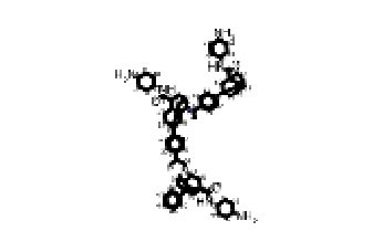 C/C(=C1/C2CC(C(=O)N[C@H]3CC[C@H](N)CC3)C3CCC(c4ccc(C(C)CN5C6CC7(C(=O)N[C@H]8CC[C@H](N)CC8)CC5CC(c5ccccc5)(C6)C7)cc4)(C2)CC13)c1ccc(C23CC4CC(CC(C(=O)N[C@H]5CC[C@H](N)CC5)(C4)C2)C3)cc1